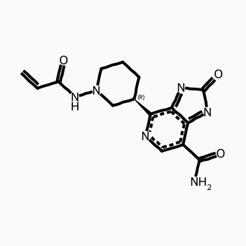 C=CC(=O)NN1CCC[C@@H](c2ncc(C(N)=O)c3c2=NC(=O)N=3)C1